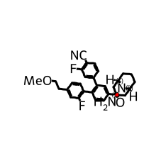 COCCc1ccc(-c2ccc(C(=O)N3[C@@H]4CCC[C@H]3C[C@H](N)C4)cc2-c2ccc(C#N)c(F)c2)c(F)c1